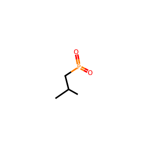 CC(C)CP(=O)=O